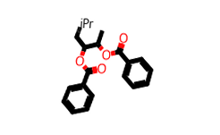 CC(C)CC(OC(=O)c1ccccc1)C(C)OC(=O)c1ccccc1